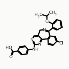 CC(C)Oc1ccccc1C1=NCc2cnc(Nc3ccc(C(=O)O)cc3)nc2-c2ccc(Cl)cc21